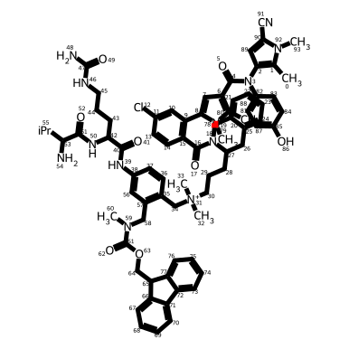 Cc1c(N(C(=O)c2cc(-c3cc(Cl)ccc3C(=O)N3Cc4ccccc4CC3CCC[N+](C)(C)Cc3ccc(NC(=O)C(CCCNC(N)=O)NC(=O)C(N)C(C)C)cc3CN(C)C(=O)OCC3c4ccccc4-c4ccccc43)n(C)c2C)c2ccc(O)cc2)cc(C#N)n1C